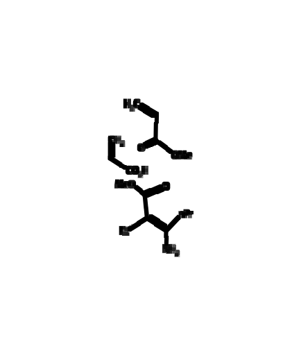 C=CC(=O)O.C=CC(=O)OC.CCCC(N)=C(CC)C(=O)OC